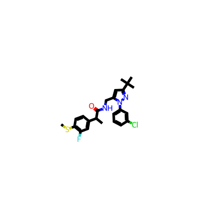 CSc1ccc(C(C)C(=O)NCc2cc(C(C)(C)C)nn2-c2cccc(Cl)c2)cc1F